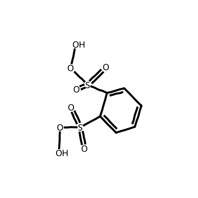 O=S(=O)(OO)c1ccccc1S(=O)(=O)OO